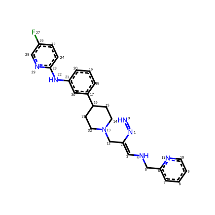 N=N/C(=C\NCc1ccccn1)CN1CCC(c2cccc(Nc3ccc(F)cn3)c2)CC1